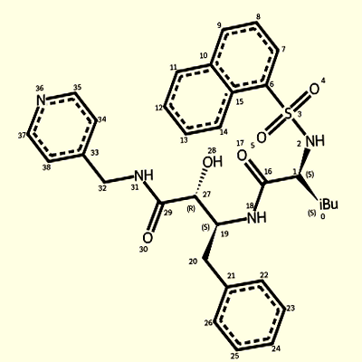 CC[C@H](C)[C@H](NS(=O)(=O)c1cccc2ccccc12)C(=O)N[C@@H](Cc1ccccc1)[C@@H](O)C(=O)NCc1ccncc1